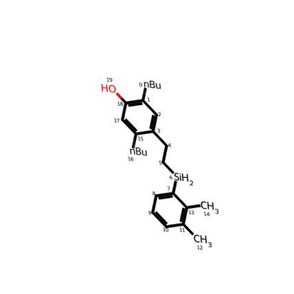 CCCCc1cc(CC[SiH2]c2cccc(C)c2C)c(CCCC)cc1O